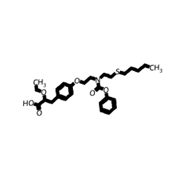 CCCCCSCCN(CCOc1ccc(CC(OCC)C(=O)O)cc1)C(=O)Oc1ccccc1